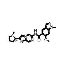 COc1cc2c(cnn2C)cc1C(=O)Nc1cn2cc([C@H]3CCCN3C)nc2cn1